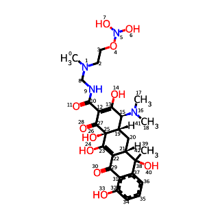 CN(CCON(O)O)CNC(=O)C1=C(O)[C@@H](N(C)C)[C@@H]2C[C@H]3C(=C(O)[C@]2(O)C1=O)C(=O)c1c(O)cccc1C3(C)O